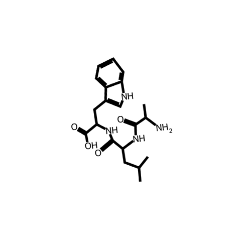 CC(C)CC(NC(=O)C(C)N)C(=O)NC(Cc1c[nH]c2ccccc12)C(=O)O